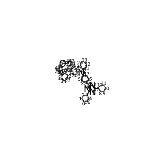 c1ccc(-c2nc(-c3ccccc3)nc(-c3ccc(-n4c5ccccc5c5cc6c(cc54)-c4ccccc4C64c5ccccc5Oc5ccccc54)cc3)n2)cc1